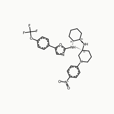 C[C@]1(N[C@@H]2CCCC[C@H]2Nc2ncc(-c3ccc(OC(F)(F)F)cc3)o2)CCCN(c2ccc([N+](=O)[O-])cc2)C1